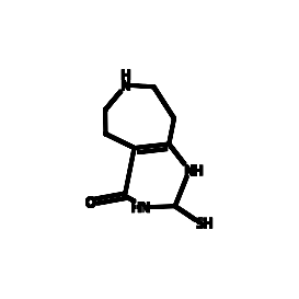 O=C1NC(S)NC2=C1CCNCC2